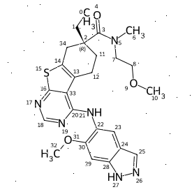 CC[C@@]1(C(=O)N(C)CCOC)CCc2c(sc3ncnc(Nc4cc5cn[nH]c5cc4OC)c23)C1